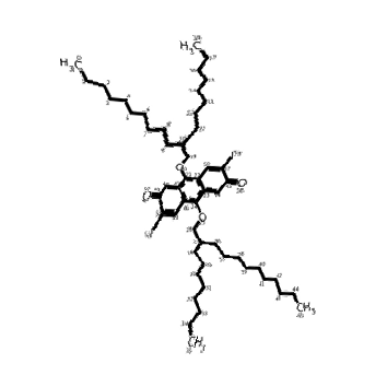 CCCCCCCCCCC(CCCCCCCC)COc1c2c(c(OCC(CCCCCCCC)CCCCCCCCCC)c3c1=CC(=O)C(I)=C3)=CC(=O)C(I)=C2